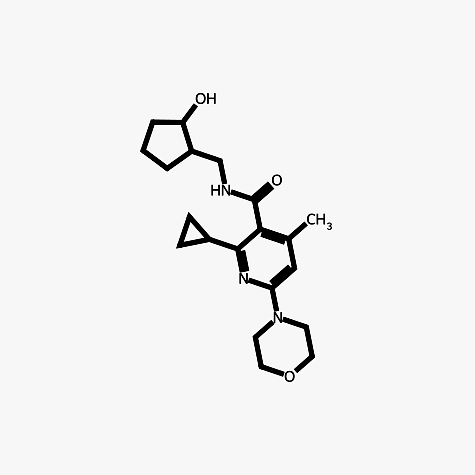 Cc1cc(N2CCOCC2)nc(C2CC2)c1C(=O)NCC1CCCC1O